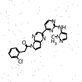 Cn1nccc1Nc1nccc(-c2cnc3c(ccn3C(=O)Cc3ccccc3Cl)n2)n1